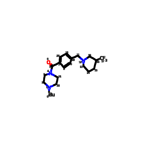 CCC(C)N1CCN(C(=O)c2ccc(CN3CCCC(C(F)(F)F)C3)cc2)CC1